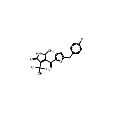 CC1NC(=O)C(C(C)(C)O)=C1C(=O)c1ccc(Cc2ccc(F)cc2)o1